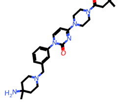 CC(C)(N)CC(=O)N1CCN(c2ccn(-c3cccc(CN4CCC(C)(N)CC4)c3)c(=O)n2)CC1